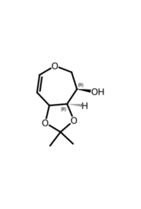 CC1(C)OC2C=COC[C@@H](O)[C@H]2O1